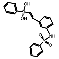 O=S(=O)(Nc1cccc(C=C[Si](O)(O)c2ccccc2)c1)c1ccccc1